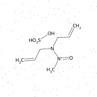 C=CCN(CC=C)[N+](C)=O.O=S(=O)(O)O